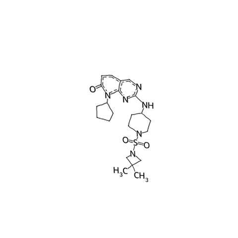 CC1(C)CN(S(=O)(=O)N2CCC(Nc3ncc4ccc(=O)n(C5CCCC5)c4n3)CC2)C1